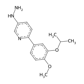 COc1ccc(-c2ccc(NN)cn2)cc1OC(C)C